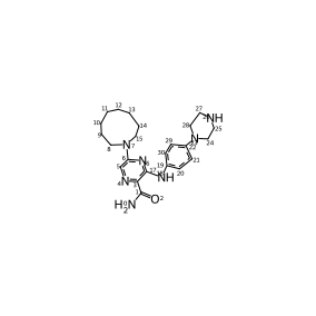 NC(=O)c1ncc(N2CCCCCCCC2)nc1Nc1ccc(N2CCNCC2)cc1